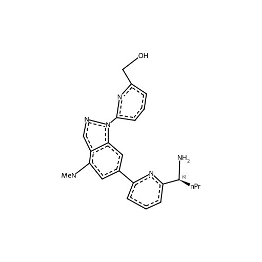 CCC[C@H](N)c1cccc(-c2cc(NC)c3cnn(-c4cccc(CO)n4)c3c2)n1